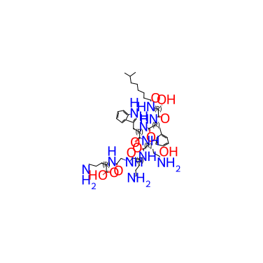 CC(C)CCCCCC(=O)N[C@H](CO)C(=O)N[C@H](Cc1ccc(O)cc1)C(=O)N[C@H](Cc1c[nH]c2ccccc12)C(=O)N[C@H](CCCN)C(=O)N[C@@H](CCCN)C(=O)NCC(=O)N[C@H](CCCN)C(=O)O